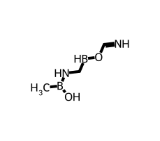 CB(O)NCBOC=N